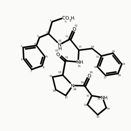 O=C(O)CC(Cc1ccccc1)NC(=O)C(Cc1ccccc1)NC(=O)C1CCCN1C(=O)C1CCCN1